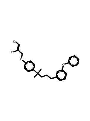 CC(C)(CCCc1cccc(Oc2ccccc2)c1)c1ccc(OC/C(Cl)=C/Cl)cc1